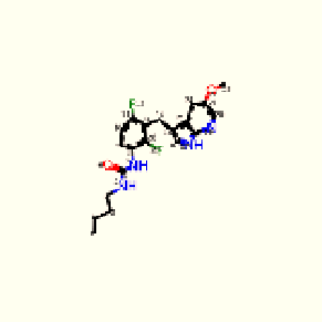 CCCCNC(=O)Nc1ccc(F)c(Cc2c[nH]c3ncc(OC)cc23)c1F